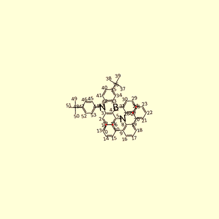 Cc1cc2c3c(c1)N(c1c(-c4ccccc4)cccc1-c1ccccc1)c1ccccc1B3c1cc(C(C)(C)C)ccc1N2c1ccc(C(C)(C)C)cc1